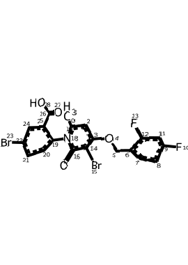 Cc1cc(OCc2ccc(F)cc2F)c(Br)c(=O)n1-c1ccc(Br)cc1C(=O)O